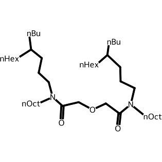 CCCCCCCCN(CCCC(CCCC)CCCCCC)C(=O)COCC(=O)N(CCCCCCCC)CCCC(CCCC)CCCCCC